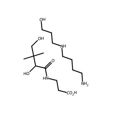 CC(C)(CO)C(O)C(=O)NCCC(=O)O.NCCCCNCCCO